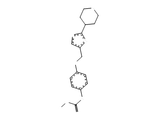 CC(C)(C)OC(=O)Nc1ccc(OCc2csc(C3CCNCC3)n2)cc1